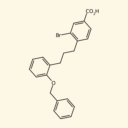 O=C(O)c1ccc(CCCc2ccccc2OCc2ccccc2)c(Br)c1